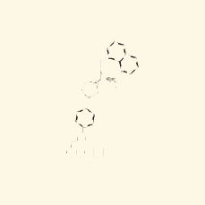 CCOC(=O)COc1ccc([C@@H]2CC[C@@H](N[C@H](C)c3cccc4ccccc34)C2)cc1